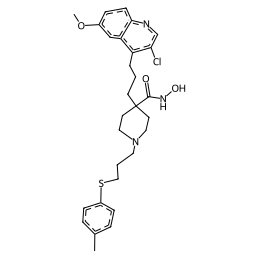 COc1ccc2ncc(Cl)c(CCCC3(C(=O)NO)CCN(CCCSc4ccc(C)cc4)CC3)c2c1